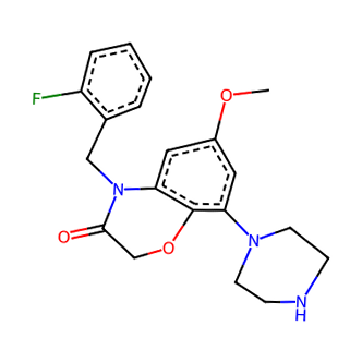 COc1cc(N2CCNCC2)c2c(c1)N(Cc1ccccc1F)C(=O)CO2